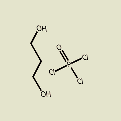 O=P(Cl)(Cl)Cl.OCCCO